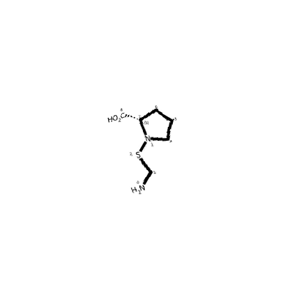 NCSN1CCC[C@H]1C(=O)O